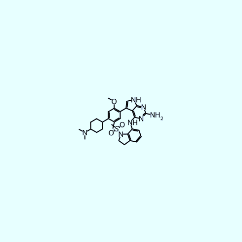 COc1cc(C2CCC(N(C)C)CC2)c(C)cc1-c1c[nH]c2nc(N)nc(Nc3cccc4c3N(S(C)(=O)=O)CC4)c12